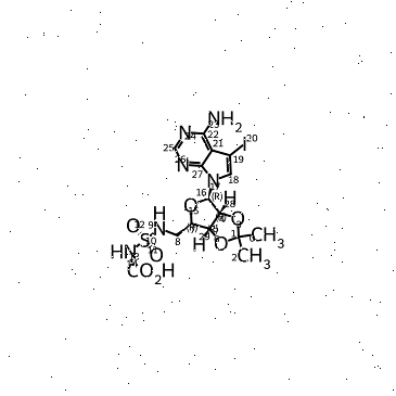 CC1(C)O[C@@H]2[C@H](O1)[C@@H](CNS(=O)(=O)NC(=O)O)O[C@H]2n1cc(I)c2c(N)ncnc21